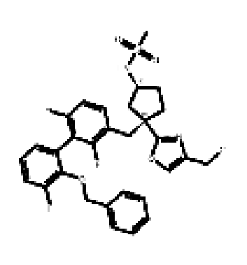 CS(=O)(=O)N[C@H]1CC[C@](Cc2ccc(F)c(-c3cccc(F)c3OCc3ccccc3)c2F)(c2nc(CCl)co2)C1